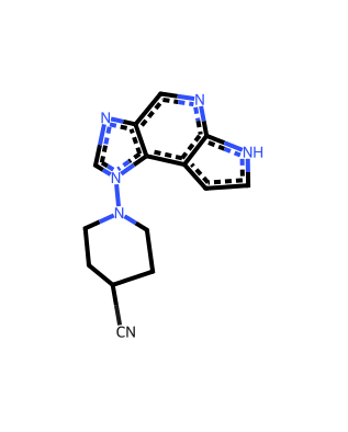 N#CC1CCN(n2cnc3cnc4[nH]ccc4c32)CC1